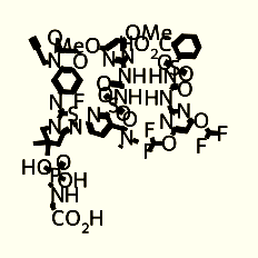 C#CCN1C(=O)COc2cc(F)c(/N=c3\snc4n3CC(C)(C)C4)cc21.COc1cc(OC)nc(NC(=O)NS(=O)(=O)c2ncccc2C(=O)N(C)C)n1.O=C(Nc1nc(OC(F)F)cc(OC(F)F)n1)NS(=O)(=O)c1ccccc1C(=O)O.O=C(O)CNCP(=O)(O)O